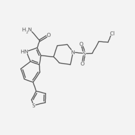 NC(=O)c1[nH]c2ccc(-c3ccsc3)cc2c1C1CCN(S(=O)(=O)CCCCl)CC1